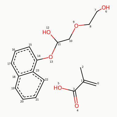 C=C(C)C(=O)O.OCCOCC(O)Oc1cccc2ccccc12